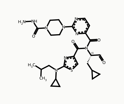 CC(C)CN(c1nc(C(=O)N(C(=O)c2ccnc(N3CCN(C(=O)NN)CC3)n2)[C@H]([C]=O)CC2CC2)cs1)C1CC1